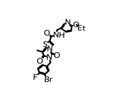 CCOc1ccc(CNC(=O)c2cn3c(=O)n(Cc4ccc(F)c(Br)c4)c(=O)c(C)c3s2)cn1